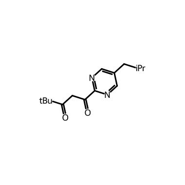 CC(C)Cc1cnc(C(=O)CC(=O)C(C)(C)C)nc1